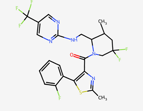 Cc1nc(C(=O)N2CC(F)(F)CC(C)C2CNc2ncc(C(F)(F)F)cn2)c(-c2ccccc2F)s1